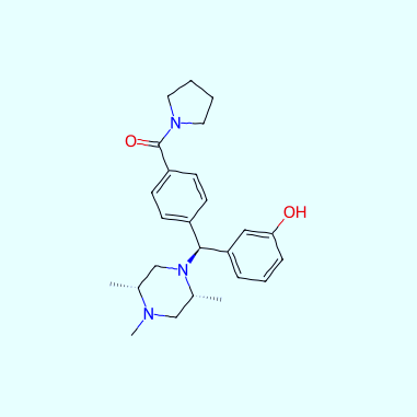 C[C@@H]1CN([C@@H](c2ccc(C(=O)N3CCCC3)cc2)c2cccc(O)c2)[C@H](C)CN1C